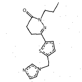 CCCN1N=C(c2ccc(Cn3ccnc3)s2)CCC1=O